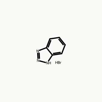 Br.c1ccc2[nH]nnc2c1